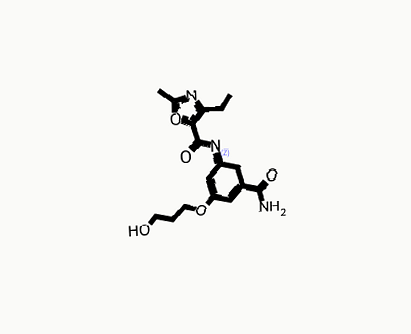 CCc1nc(C)oc1C(=O)/N=C1\C=C(OCCCO)C=C(C(N)=O)C1